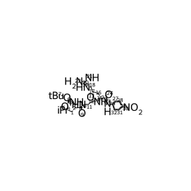 CC(C)C[C@H](NC(=O)OC(C)(C)C)C(=O)NCC(=O)N[C@@H](CCCNC(=N)N)C(=O)Nc1ccc([N+](=O)[O-])cc1